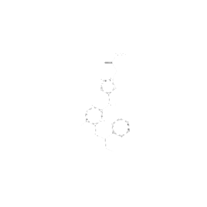 CNC(=O)Cn1cc(Nc2ncc(F)c(NC(CO)c3ccccc3)n2)cn1